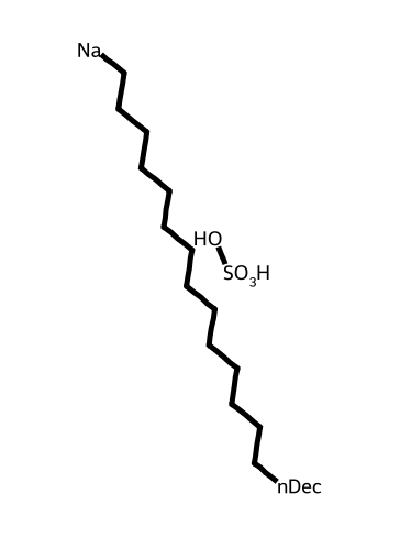 CCCCCCCCCCCCCCCCCCCCCCC[CH2][Na].O=S(=O)(O)O